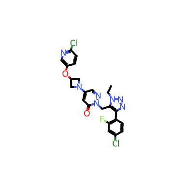 CCn1nnc(-c2ccc(Cl)cc2F)c1Cn1ncc(N2CC(Oc3ccc(Cl)nc3)C2)cc1=O